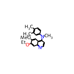 CCOc1cc2nccc(N(C)c3ccc(C)c(C)c3)c2cc1OC